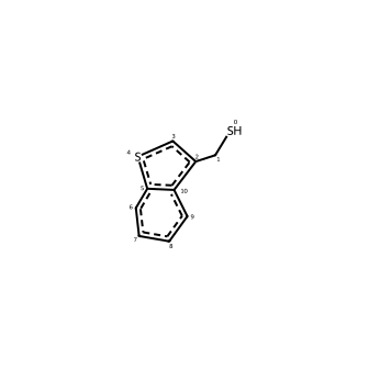 SCc1csc2ccccc12